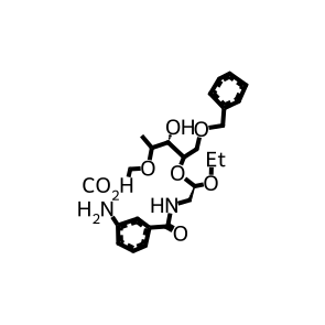 CCO[C@@H](CNC(=O)c1cccc(N)c1)OC(COCc1ccccc1)[C@@H](O)C(C)OCC(=O)O